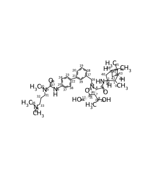 CC1[C@@H](NC(=O)C2[C@H]([C@H](C)O)[C@H](CO)ON2Cc2cccc(-c3ccc(NC(=O)N(C)CCCN(C)C)cc3)c2)C[C@@H]2C[C@H]1C2(C)C